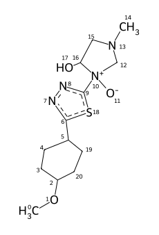 COC1CCC(c2nnc([N+]3([O-])CN(C)CC3O)s2)CC1